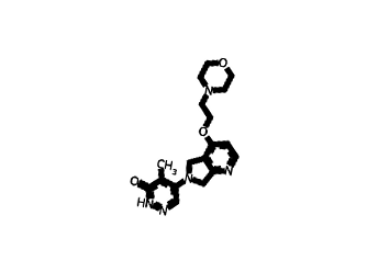 Cc1c(N2Cc3nccc(OCCN4CCOCC4)c3C2)cn[nH]c1=O